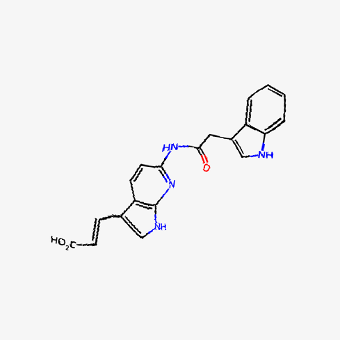 O=C(O)C=Cc1c[nH]c2nc(NC(=O)Cc3c[nH]c4ccccc34)ccc12